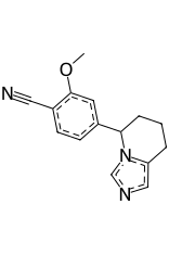 COc1cc(C2CCCc3cncn32)ccc1C#N